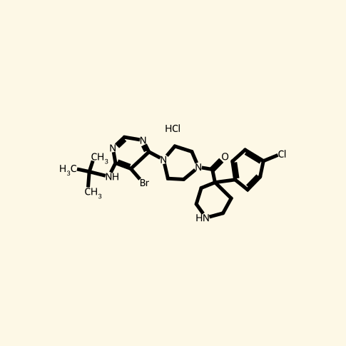 CC(C)(C)Nc1ncnc(N2CCN(C(=O)C3(c4ccc(Cl)cc4)CCNCC3)CC2)c1Br.Cl